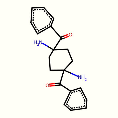 NC1(C(=O)c2ccccc2)CCC(N)(C(=O)c2ccccc2)CC1